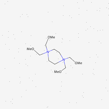 COC[N+]1(COC)CC[N+](COC)(COC)CC1